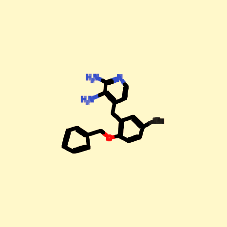 CC(C)(C)c1ccc(OCc2ccccc2)c(Cc2ccnc(N)c2N)c1